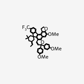 C/C=C1\CC(C)(C)CC2(C1)c1cc(C(F)(F)F)ccc1-c1c2c2c(c3cc(OC)c4c(c13)CCO4)OC(c1ccc(OC)cc1)(c1ccc(OC)cc1)C=C2